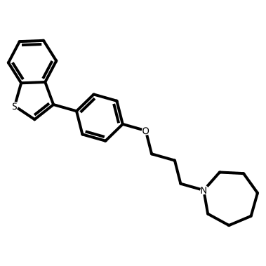 c1ccc2c(-c3ccc(OCCCN4CCCCCC4)cc3)csc2c1